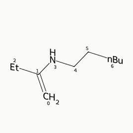 C=C(CC)NCCCCCC